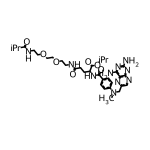 CC(C)OC(=O)C(CCC(=O)NCCOCCOCCNC(=O)C(C)C)NC(=O)c1ccc(N(C)Cc2cnc3nc(N)nc(N)c3n2)cc1